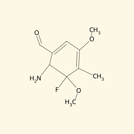 COC1=C(C)C(F)(OC)C(N)C(C=O)=C1